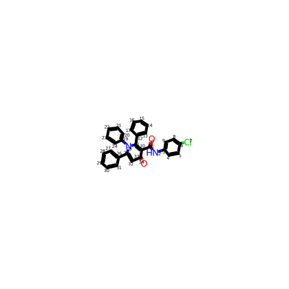 O=C(Nc1ccc(Cl)cc1)c1c(-c2ccccc2)n(-c2ccccc2)c(-c2ccccc2)cc1=O